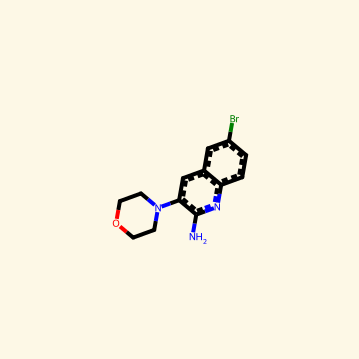 Nc1nc2ccc(Br)cc2cc1N1CCOCC1